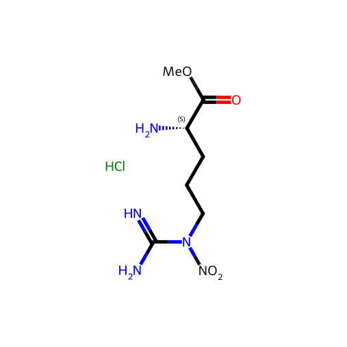 COC(=O)[C@@H](N)CCCN(C(=N)N)[N+](=O)[O-].Cl